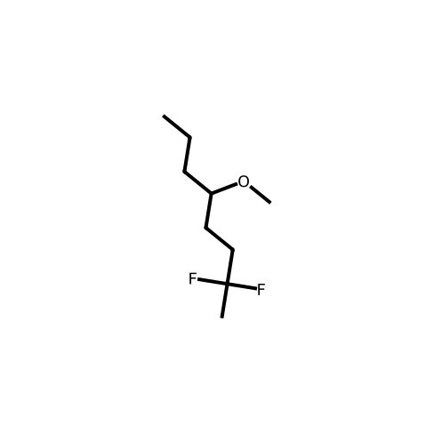 CCCC(CCC(C)(F)F)OC